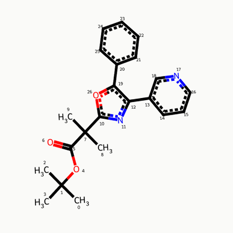 CC(C)(C)OC(=O)C(C)(C)c1nc(-c2cccnc2)c(-c2ccccc2)o1